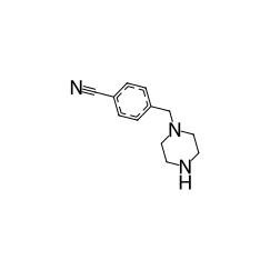 N#Cc1ccc(CN2CCNCC2)cc1